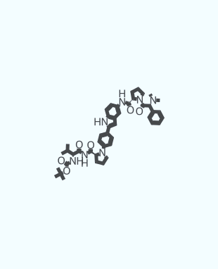 CC(C)[C@@H](NC(=O)OC(C)(C)C)C(=O)NC(=O)[C@@H]1CCCN1c1ccc(-c2cc3cc(NC(=O)[C@@H]4CCCN4C(=O)[C@@H](c4ccccc4)N(C)C)ccc3[nH]2)cc1